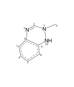 CN1C=Nc2ccccc2N1